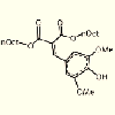 CCCCCCCCOC(=O)C(=Cc1cc(OC)c(O)c(OC)c1)C(=O)OCCCCCCCC